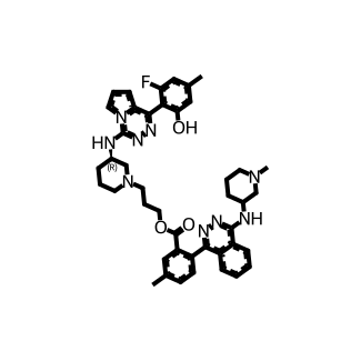 Cc1cc(O)c(-c2nnc(N[C@@H]3CCCN(CCCOC(=O)c4cc(C)ccc4-c4nnc(NC5CCCN(C)C5)c5ccccc45)C3)n3cccc23)c(F)c1